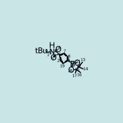 CC(C)(C)CNS(=O)(=O)c1ccc(B2OC(C)(C)C(C)(C)O2)cc1